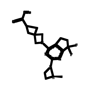 COC(=O)C1CC2(C1)CN(c1nc(N3CC[C@@H]3C)nc3c1CCC3(F)F)C2